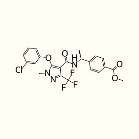 COC(=O)c1ccc([C@H](C)NC(=O)c2c(C(F)(F)F)nn(C)c2Oc2cccc(Cl)c2)cc1